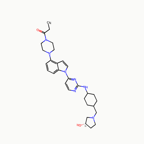 N#CCC(=O)N1CCN(c2cccc3c2ccn3-c2ccnc(NC3CCC(CN4CC[C@H](O)C4)CC3)n2)CC1